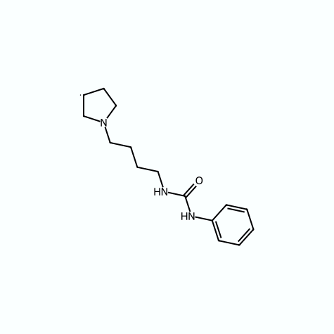 O=C(NCCCCN1C[CH]CC1)Nc1ccccc1